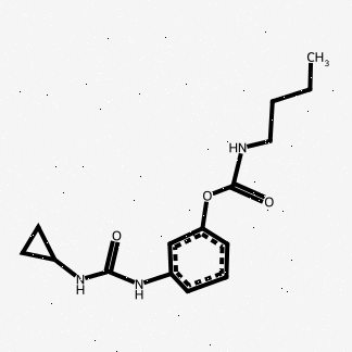 CCCCNC(=O)Oc1cccc(NC(=O)NC2CC2)c1